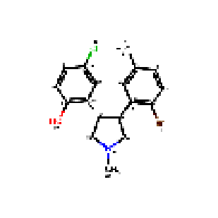 Cc1ccc(Br)c([C@H]2CN(C)C[C@@H]2c2cc(Cl)ccc2O)c1